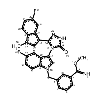 COC(=N)c1cccc(Cn2cc(-n3c(-c4cn(C)c5ccc(F)cc45)n[nH]c3=O)c3cc(F)ccc32)c1